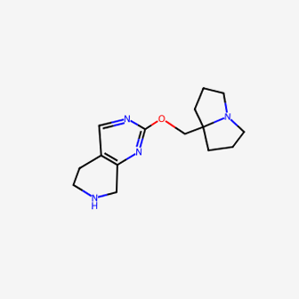 c1nc(OCC23CCCN2CCC3)nc2c1CCNC2